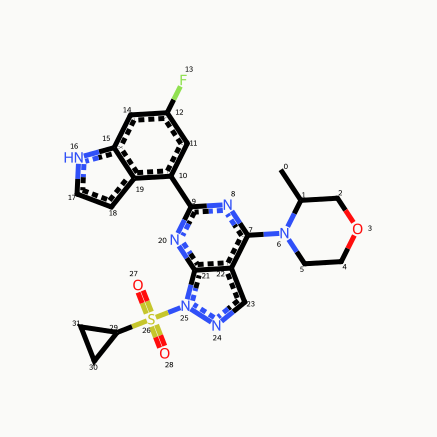 CC1COCCN1c1nc(-c2cc(F)cc3[nH]ccc23)nc2c1cnn2S(=O)(=O)C1CC1